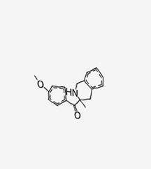 COc1ccc(C(=O)C2(C)Cc3ccccc3CN2)cc1